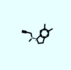 C#CCN(C)[C@@H]1CCc2cc(C)c(C)cc21